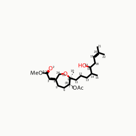 COC(=O)C=C1CC[C@@H](OC(C)=O)[C@](C)(CCCC(C)C(O)CC=C(C)C)OC1